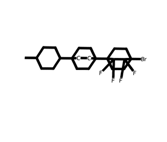 CC1CCC(C23CCC(C45CCC(Br)(CC4)C(F)(F)C5(F)F)(CC2)CC3)CC1